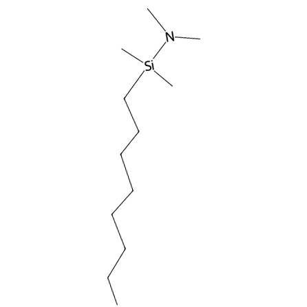 CCCCCCCC[Si](C)(C)N(C)C